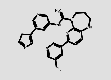 C=C(Nc1cncc(C2=CN=CC2)c1)N1CCCNc2ccc(-c3cncc(C)c3)nc21